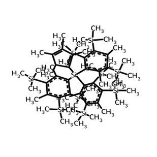 CC1=C(C)C(C)C([Si](c2c(C)c([Si](C)(C)C)c(C)c([Si](C)(C)C)c2[Si](C)(C)C)(c2c(C)c([Si](C)(C)C)c(C)c([Si](C)(C)C)c2[Si](C)(C)C)c2c(C)c([Si](C)(C)C)c(C)c([Si](C)(C)C)c2[Si](C)(C)C)=C1C